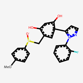 COc1ccc([S+]([O-])Cc2cc(-c3ccnn3-c3ccccc3F)c(O)cc2O)cc1